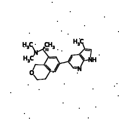 Cc1c[nH]c2ncc(-c3cc4c(c([C@H](C)N(C)C)c3)COCC4)cc12